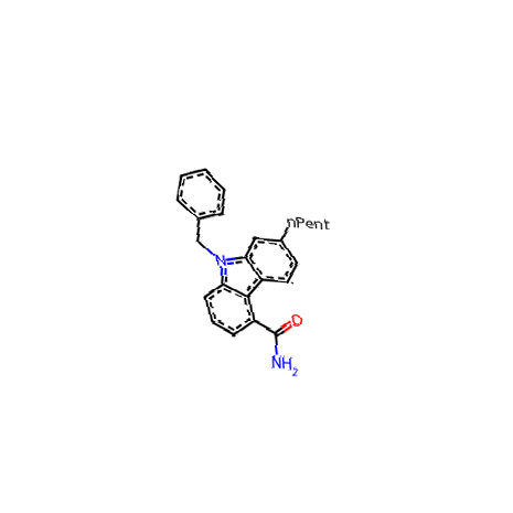 CCCCCc1c[c]c2c3c(C(N)=O)cccc3n(Cc3ccccc3)c2c1